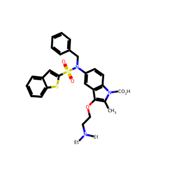 CCN(CC)CCOc1c(C)n(C(=O)O)c2ccc(N(Cc3ccccc3)S(=O)(=O)c3cc4ccccc4s3)cc12